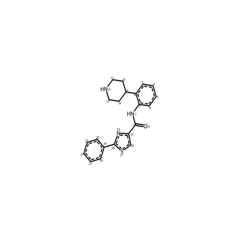 O=C(Nc1ccccc1C1CCNCC1)c1csc(-c2ccccc2)n1